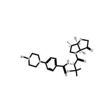 CCN1CCN(c2ccc(C(=O)N[C@H](C(=O)N3C[C@H](C)[C@H]4OCC(=O)[C@H]43)C(C)(C)CC)cc2)CC1